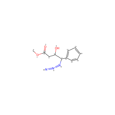 COC(=O)CC(O)C(N=[N+]=[N-])c1ccccc1